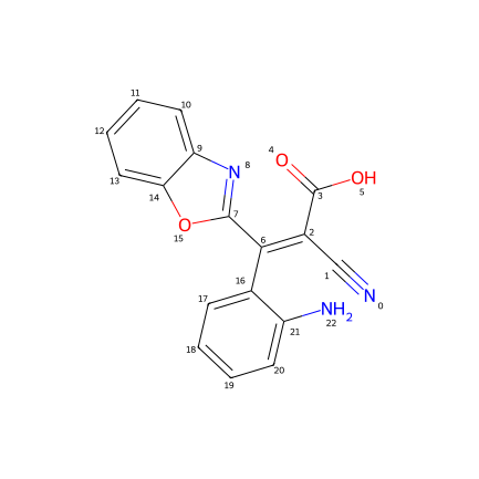 N#CC(C(=O)O)=C(c1nc2ccccc2o1)c1ccccc1N